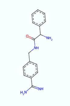 N=C(N)c1ccc(CNC(=O)C(N)c2ccccc2)cc1